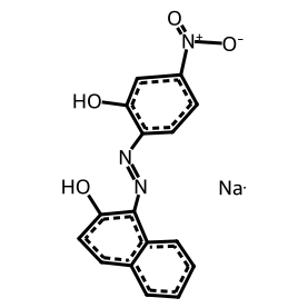 O=[N+]([O-])c1ccc(N=Nc2c(O)ccc3ccccc23)c(O)c1.[Na]